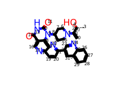 C=C([C@@H](C)O)N1CCC(n2c(=O)[nH]c(=O)c3cnc4ccc(-c5cnc6ccccc6c5)nc4c32)CC1